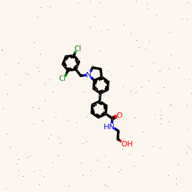 O=C(NCCO)c1cccc(-c2ccc3c(c2)N(Cc2cc(Cl)ccc2Cl)CC3)c1